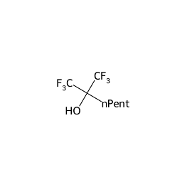 CCCCCC(O)(C(F)(F)F)C(F)(F)F